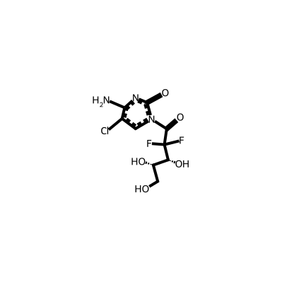 Nc1nc(=O)n(C(=O)C(F)(F)[C@H](O)[C@@H](O)CO)cc1Cl